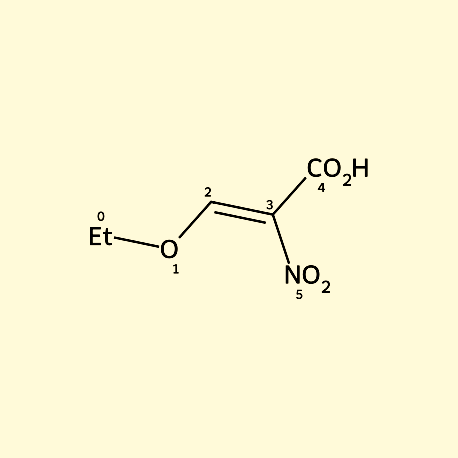 CCO/C=C(/C(=O)O)[N+](=O)[O-]